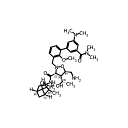 COc1c(CN2O[C@@H](CN)[C@@H]([C@H](C)O)[C@H]2C(=O)N[C@H]2C[C@H]3C[C@@H]([C@@H]2C)C3(C)C)cccc1-c1cc(C(=O)N(C)C)cc(N(C)C)c1